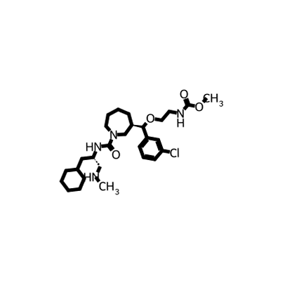 CNC[C@H](CC1CCCCC1)NC(=O)N1CCCC[C@@H](C(OCCNC(=O)OC)c2cccc(Cl)c2)C1